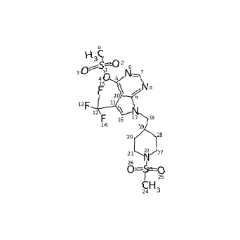 CS(=O)(=O)Oc1ncnc2c1c(C(F)(F)F)cn2CC1CCN(S(C)(=O)=O)CC1